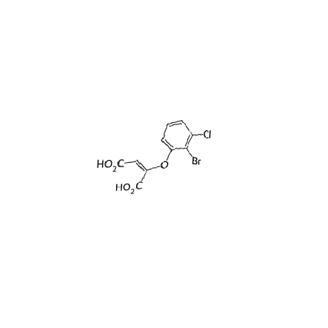 O=C(O)C=C(Oc1cccc(Cl)c1Br)C(=O)O